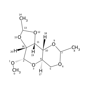 CO[C@H]1O[C@@H]2COC(C)O[C@H]2[C@H]2OC(C)O[C@@H]12